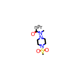 CCCC(=O)N(C)N1CCN(S(C)(=O)=O)CC1